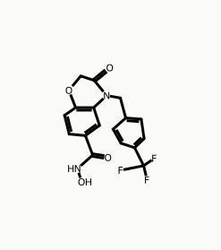 O=C(NO)c1ccc2c(c1)N(Cc1ccc(C(F)(F)F)cc1)C(=O)CO2